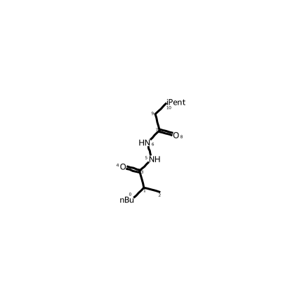 CCCCC(C)C(=O)NNC(=O)CC(C)CCC